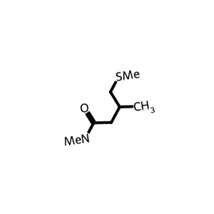 CNC(=O)CC(C)CSC